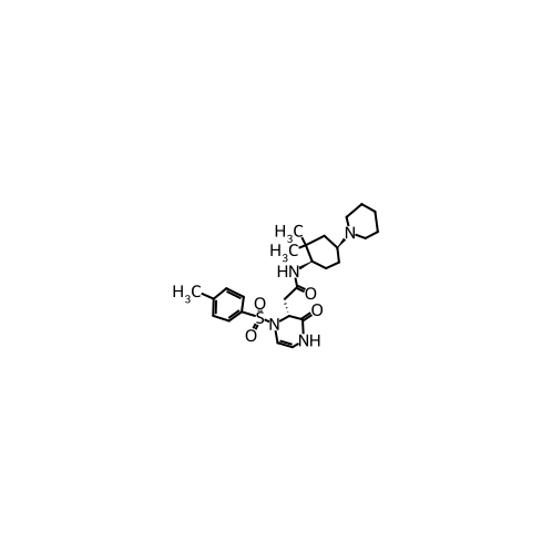 Cc1ccc(S(=O)(=O)N2C=CNC(=O)[C@H]2CC(=O)N[C@@H]2CC[C@H](N3CCCCC3)CC2(C)C)cc1